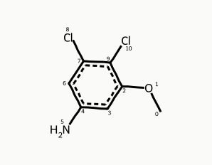 COc1cc(N)cc(Cl)c1Cl